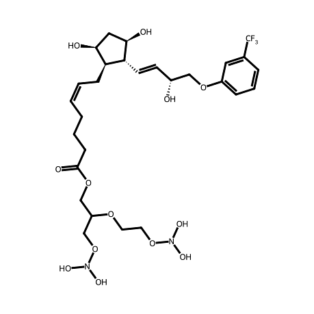 O=C(CCC/C=C\C[C@@H]1[C@@H](/C=C/[C@@H](O)COc2cccc(C(F)(F)F)c2)[C@H](O)C[C@@H]1O)OCC(CON(O)O)OCCON(O)O